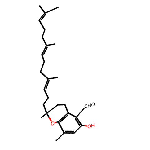 CC(C)=CCC/C(C)=C/CC/C(C)=C/CCC1(C)CCc2c(C=O)c(O)cc(C)c2O1